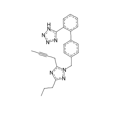 CC#CCc1nc(CCC)nn1Cc1ccc(-c2ccccc2-c2nnn[nH]2)cc1